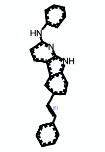 C(=C\c1ccc2[nH]c3nc(Nc4ccccc4)ccc3c2c1)/c1ccccc1